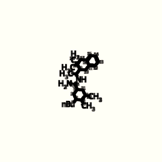 CCCCC1CC([C@@H](N)NC(C)C2Cc3ccccc3CC2(C)C)CC(C)C1C